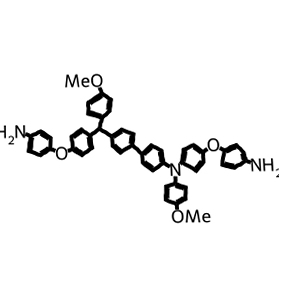 COc1ccc(C(c2ccc(Oc3ccc(N)cc3)cc2)c2ccc(-c3ccc(N(c4ccc(OC)cc4)c4ccc(Oc5ccc(N)cc5)cc4)cc3)cc2)cc1